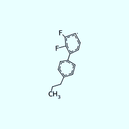 CCCc1ccc(-c2cc[c]c(F)c2F)cc1